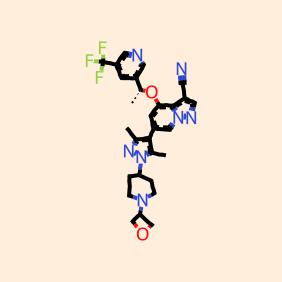 Cc1nn(C2CCN(C3COC3)CC2)c(C)c1-c1cc(O[C@H](C)c2cncc(C(F)(F)F)c2)c2c(C#N)cnn2c1